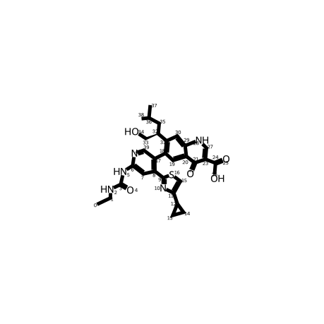 CCNC(=O)Nc1cc(-c2nc(C3CC3)cs2)c(-c2cc3c(=O)c(C(=O)O)c[nH]c3cc2[C@@H](CO)CC(C)C)cn1